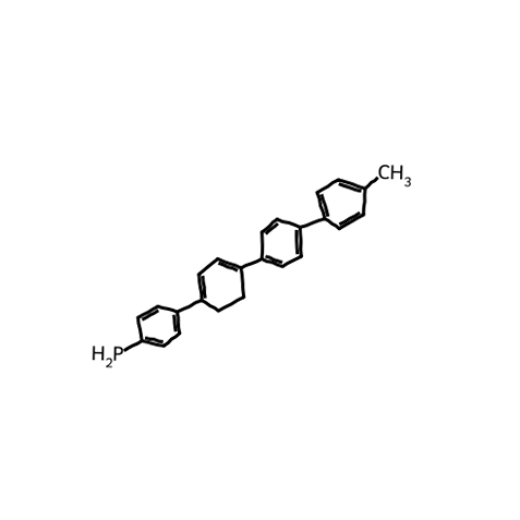 Cc1ccc(-c2ccc(C3=CC=C(c4ccc(P)cc4)CC3)cc2)cc1